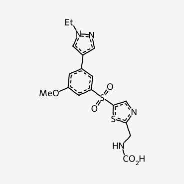 CCn1cc(-c2cc(OC)cc(S(=O)(=O)c3cnc(CNC(=O)O)s3)c2)cn1